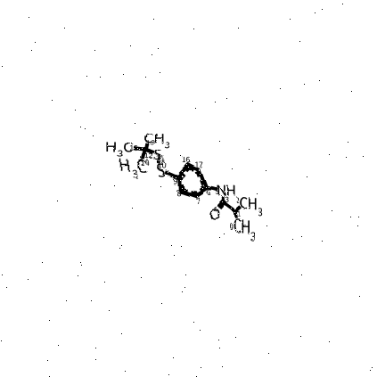 CC(C)C(=O)Nc1ccc(SSC(C)(C)C)cc1